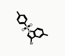 Cc1ccc(S(=O)(=O)n2cc(Br)c3cc(C)ccc32)cc1